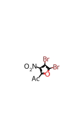 CC(=O)c1oc(Br)c(Br)c1[N+](=O)[O-]